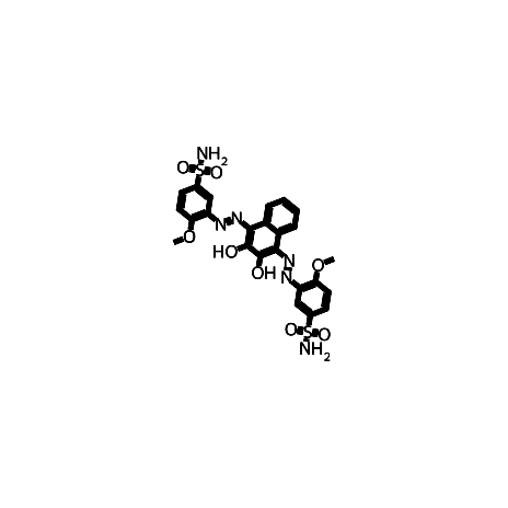 COc1ccc(S(N)(=O)=O)cc1N=Nc1c(O)c(O)c(N=Nc2cc(S(N)(=O)=O)ccc2OC)c2ccccc12